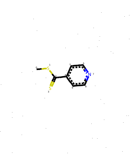 CSC(=S)c1ccncc1